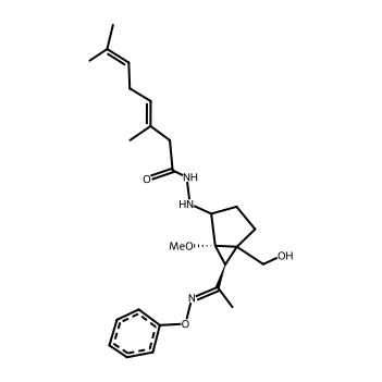 CO[C@]12C(NNC(=O)C/C(C)=C/CC=C(C)C)CCC1(CO)[C@H]2/C(C)=N/Oc1ccccc1